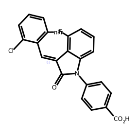 CCCc1cccc(Cl)c1/C=C1/C(=O)N(c2ccc(C(=O)O)cc2)c2cccc(F)c21